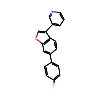 Fc1ccc(-c2ccc3c(-c4cccnc4)coc3c2)cc1